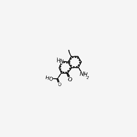 Cc1ccc(N)c2c(=O)c(C(=O)O)c[nH]c12